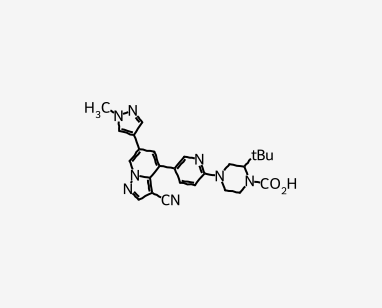 Cn1cc(-c2cc(-c3ccc(N4CCN(C(=O)O)C(C(C)(C)C)C4)nc3)c3c(C#N)cnn3c2)cn1